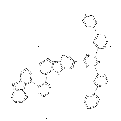 c1ccc(-c2cccc(-c3nc(-c4cccc(-c5ccccc5)c4)nc(-c4ccc5c(c4)oc4c(-c6ccccc6-c6cccc7oc8ccccc8c67)cccc45)n3)c2)cc1